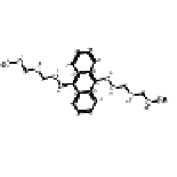 CCCCOCOCOOc1c2ccccc2c(OOCOCOCCCC)c2ccccc12